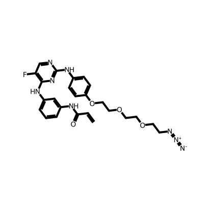 C=CC(=O)Nc1cccc(Nc2nc(Nc3ccc(OCCOCCOCCN=[N+]=[N-])cc3)ncc2F)c1